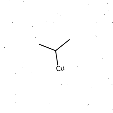 C[CH](C)[Cu]